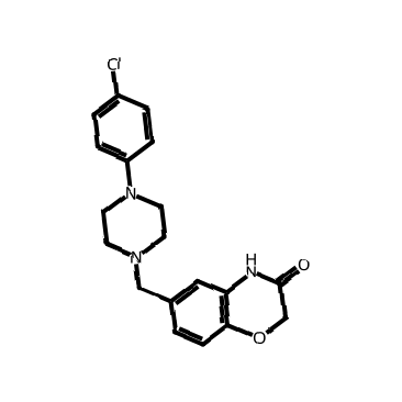 O=C1COc2ccc(CN3CCN(c4ccc(Cl)cc4)CC3)cc2N1